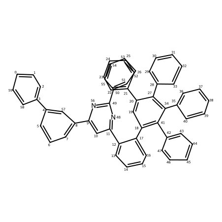 c1ccc(-c2cccc(-c3cc(-c4ccccc4-c4cc(-c5ccccc5)c(-c5ccccc5)c(-c5ccccc5)c4-c4ccccc4)nc(-c4ccccc4)n3)c2)cc1